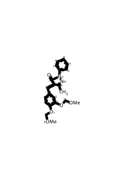 COCOc1ccc(C=C2C(=O)N(c3ccccc3)N=C2C)cc1OCOC